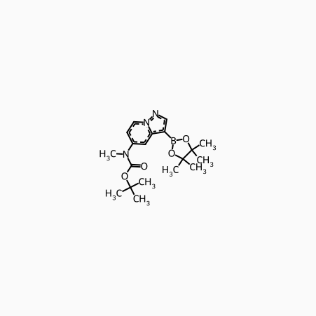 CN(C(=O)OC(C)(C)C)c1ccn2ncc(B3OC(C)(C)C(C)(C)O3)c2c1